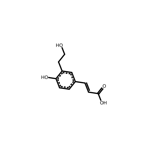 O=C(O)/C=C/c1ccc(O)c(CCO)c1